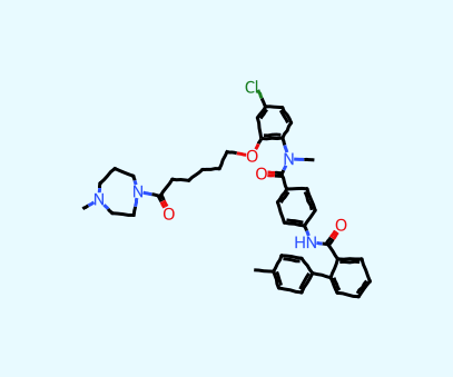 Cc1ccc(-c2ccccc2C(=O)Nc2ccc(C(=O)N(C)c3ccc(Cl)cc3OCCCCCC(=O)N3CCCN(C)CC3)cc2)cc1